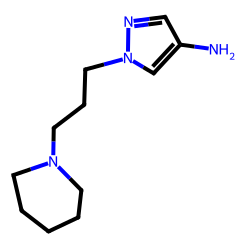 Nc1cnn(CCCN2CCCCC2)c1